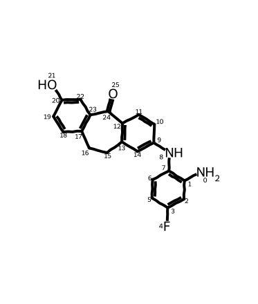 Nc1cc(F)ccc1Nc1ccc2c(c1)CCc1ccc(O)cc1C2=O